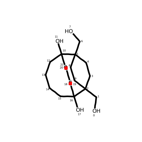 OCC12CCC(CO)(CC1)C1(O)CCCCC2(O)CCCC1